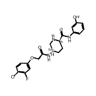 O=C(COc1ccc(Cl)c(F)c1)N[Si@H]1CC[C@H](C(=O)Nc2cccc(O)c2)NC1